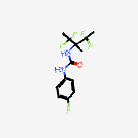 CC(F)(F)C(C)(NC(=O)Nc1ccc(F)cc1)C(C)(F)F